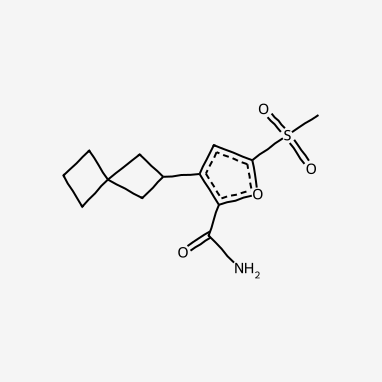 CS(=O)(=O)c1cc(C2CC3(CCC3)C2)c(C(N)=O)o1